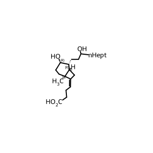 CCCCCCCC(O)CC[C@H]1[C@H](O)CC[C@]2(C)C(=CCCC(=O)O)C[C@H]12